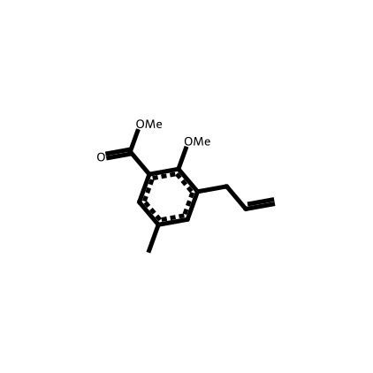 C=CCc1cc(C)cc(C(=O)OC)c1OC